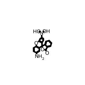 Nc1ccc2c(c1)C1(OC(=O)c3ccccc31)c1ccc(N(O)O)cc1O2